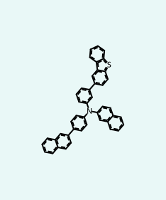 c1cc(-c2ccc3sc4ccccc4c3c2)cc(N(c2ccc(-c3ccc4ccccc4c3)cc2)c2ccc3ccccc3c2)c1